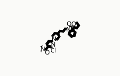 CN(C)C(=O)c1ccc(N2CCC(CCCNC(=O)[C@@]3(c4ccccc4)CCCO3)CC2)nc1Cl